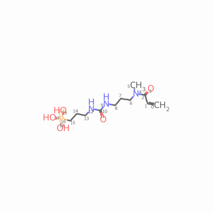 C=CC(=O)N(C)CCCNC(=O)NCCC[PH](O)(O)O